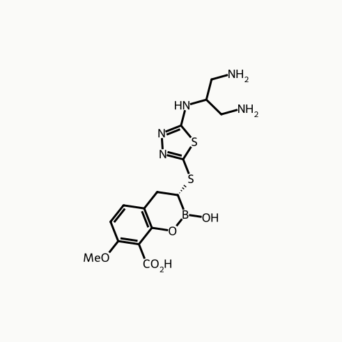 COc1ccc2c(c1C(=O)O)OB(O)[C@@H](Sc1nnc(NC(CN)CN)s1)C2